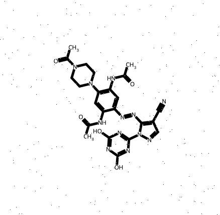 CC(=O)Nc1cc(N2CCN(C(C)=O)CC2)c(NC(C)=O)cc1/N=N/c1c(C#N)cnn1-c1nc(O)nc(O)n1